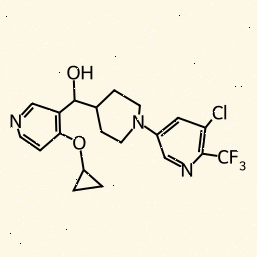 OC(c1cnccc1OC1CC1)C1CCN(c2cnc(C(F)(F)F)c(Cl)c2)CC1